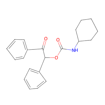 O=C(NC1CCCCC1)OC(C(=O)c1ccccc1)c1ccccc1